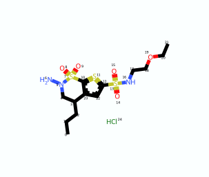 CCCC1CN(N)S(=O)(=O)c2sc(S(=O)(=O)NCCOCC)cc21.Cl